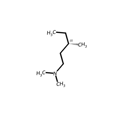 CC[C@H](C)CCN(C)C